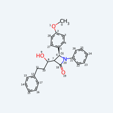 COc1ccc([C@@H]2C(C(O)CCc3ccccc3)C(=O)N2c2ccccc2)cc1